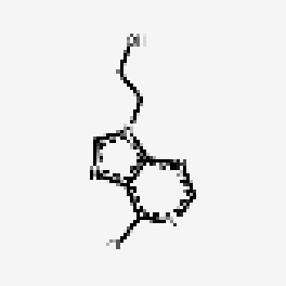 OCCn1cnc2c(Cl)ncnc21